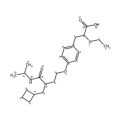 CCOC(Cc1ccc(OCCN(CC2CCC2)C(=O)NC(C)C)cc1)C(=O)O